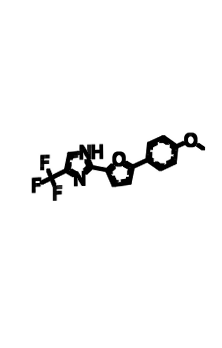 COc1ccc(-c2ccc(-c3nc(C(F)(F)F)c[nH]3)o2)cc1